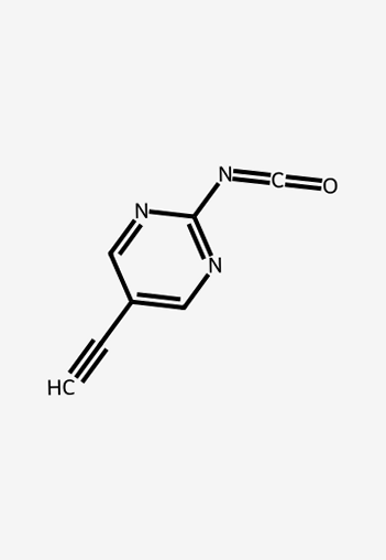 C#Cc1cnc(N=C=O)nc1